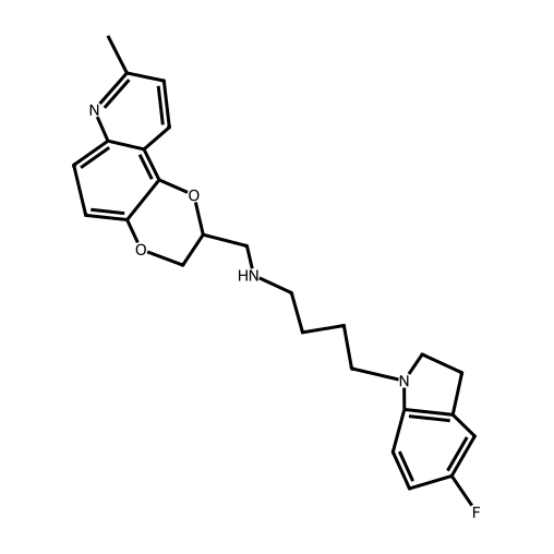 Cc1ccc2c3c(ccc2n1)OCC(CNCCCCN1CCc2cc(F)ccc21)O3